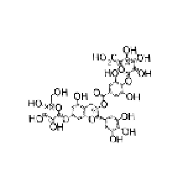 O=C(O[C@@H]1Cc2c(O)cc(O[C@@H]3O[C@H](CO)[C@@H](O)[C@H](O)[C@H]3O)cc2O[C@@H]1c1cc(O)c(O)c(O)c1)c1cc(O)c(O[C@@H]2O[C@H](C(=O)O)[C@@H](O)[C@H](O)[C@H]2O)c(O)c1